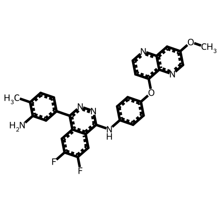 COc1cnc2c(Oc3ccc(Nc4nnc(-c5ccc(C)c(N)c5)c5cc(F)c(F)cc45)cc3)ccnc2c1